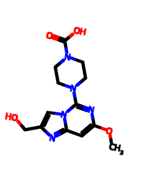 COc1cc2nc(CO)cn2c(N2CCN(C(=O)O)CC2)n1